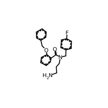 NCCCN(Cc1ccc(F)cc1)C(=O)c1ccccc1OCc1ccccc1